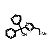 CNCc1cnc(C(O)(c2ccccc2)c2ccccc2)s1